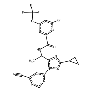 CC(NC(=O)c1cc(Br)cc(OC(F)(F)F)c1)c1nc(C2CC2)nn1-c1cc(C#N)ncn1